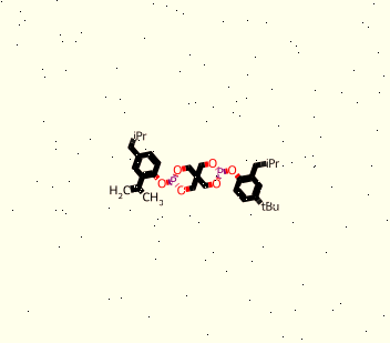 C=C(C)c1cc(CC(C)C)ccc1OP1OCC2(COP(Oc3ccc(C(C)(C)C)cc3CC(C)C)OC2)CO1